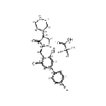 O=C(O)C(F)(F)F.O=C1[C@H](Cc2c(Cl)cc(-c3ccc(F)cc3)cc2Cl)CCN1N1CCOCC1